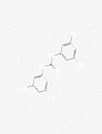 CC(=O)c1cc(NC(=O)Nc2cc(C(C)=O)cc(C(C)=O)c2)cc(C(C)=O)c1